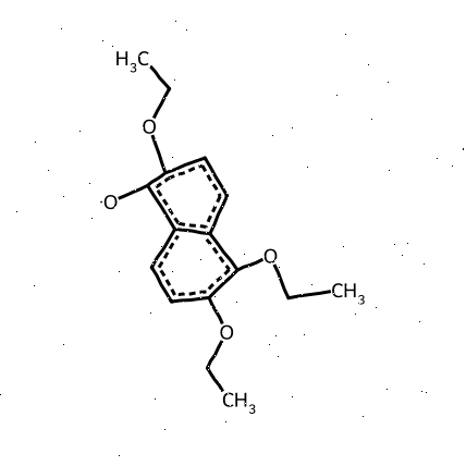 CCOc1ccc2c(OCC)c(OCC)ccc2c1[O]